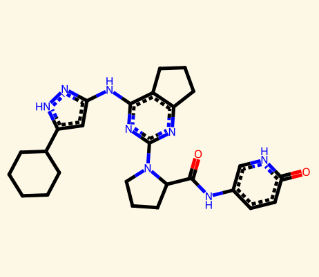 O=C(Nc1ccc(=O)[nH]c1)C1CCCN1c1nc2c(c(Nc3cc(C4CCCCC4)[nH]n3)n1)CCC2